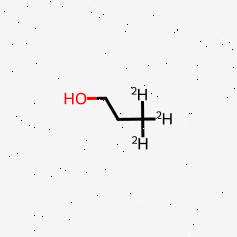 [2H]C([2H])([2H])CCO